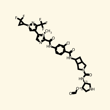 Cn1c(-c2cn(C3CC3(F)F)nc2C(F)(F)F)cnc1C(=O)Nc1ccc(C(=O)NC2CC3CN(C(=O)N[C@H]4CNC[C@@H]4OC=O)CC32)c(Cl)c1